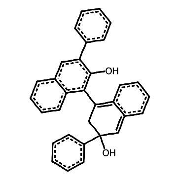 Oc1c(-c2ccccc2)cc2ccccc2c1C1=c2ccccc2=CC(O)(c2ccccc2)C1